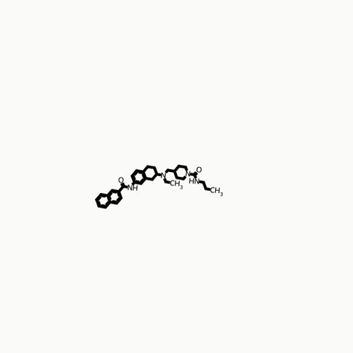 CCCNC(=O)N1CCC(CN(CC)C2CCc3ccc(NC(=O)c4ccc5ccccc5c4)cc3C2)CC1